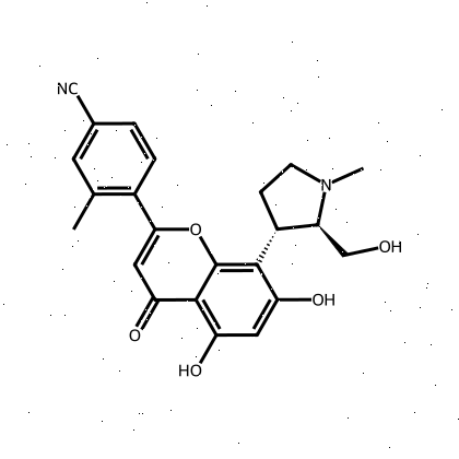 Cc1cc(C#N)ccc1-c1cc(=O)c2c(O)cc(O)c([C@@H]3CCN(C)[C@H]3CO)c2o1